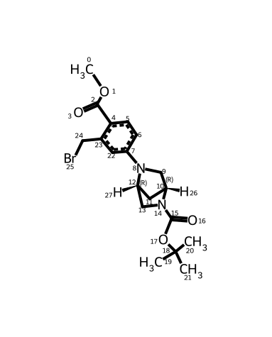 COC(=O)c1ccc(N2C[C@H]3C[C@@H]2CN3C(=O)OC(C)(C)C)cc1CBr